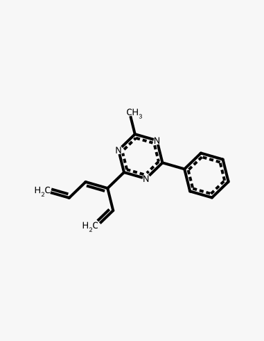 C=C/C=C(\C=C)c1nc(C)nc(-c2ccccc2)n1